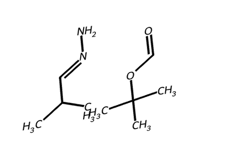 CC(C)(C)OC=O.CC(C)C=NN